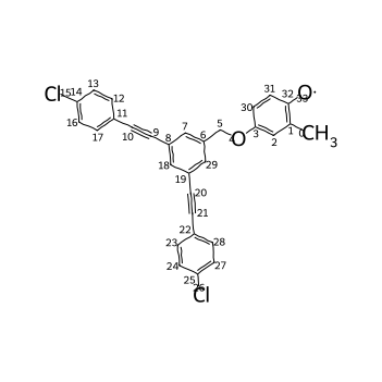 Cc1cc(OCc2cc(C#Cc3ccc(Cl)cc3)cc(C#Cc3ccc(Cl)cc3)c2)ccc1[O]